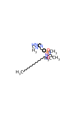 CCCCCCCCCCCCCCCCCc1noc(C(CC(C)C)N(C)S(=O)(=O)c2ccc(Cc3nccc4[nH]c(C)nc34)cc2)n1